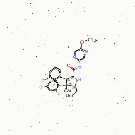 CC(C)(C)C[C@@H]1N[C@@H](C(=O)Nc2cnc(OC(=O)O)cn2)[C@H](c2cccc(Cl)c2F)[C@@]1(C#N)c1ccc(Cl)cc1F